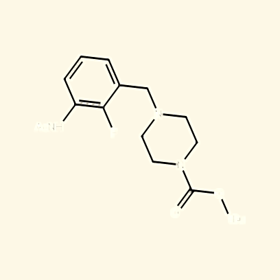 CC(=O)Nc1cccc(CN2CCN(C(=O)OC(C)(C)C)CC2)c1F